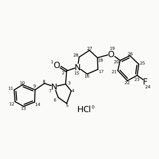 Cl.O=C(C1CCCN1Cc1ccccc1)N1CCC(Oc2ccc(F)cc2)CC1